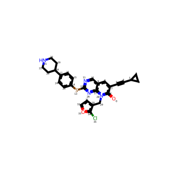 O=c1c(C#CC2CC2)cc2cnc(Sc3ccc(C4CCNCC4)cc3)nc2n1Cc1ccoc1Cl